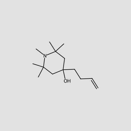 C=CCCC1(O)CC(C)(C)N(C)C(C)(C)C1